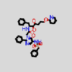 O=C(Cn1c(-c2ccccc2)ncc(NS(=O)(=O)Cc2ccccc2)c1=O)NC(Cc1ccccc1)C(=O)C(=O)CCCOc1ccccn1